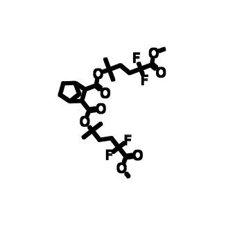 COC(=O)C(F)(F)CCC(C)(C)OC(=O)C1C2CCC(C2)C1C(=O)OC(C)(C)CCC(F)(F)C(=O)OC